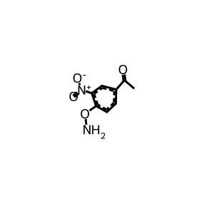 CC(=O)c1ccc(ON)c([N+](=O)[O-])c1